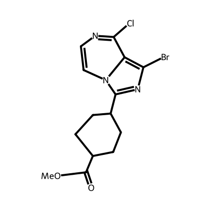 COC(=O)C1CCC(c2nc(Br)c3c(Cl)nccn23)CC1